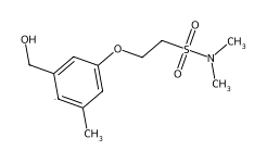 Cc1[c]c(CO)cc(OCCS(=O)(=O)N(C)C)c1